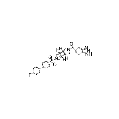 O=C(c1ccc2[nH]nnc2c1)N1C[C@@H]2[C@H](C1)[C@H]1CN(S(=O)(=O)c3ccc(-c4ccc(F)cc4)cc3)C[C@@H]21